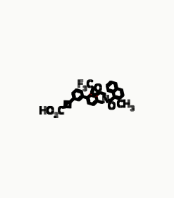 Cc1ccc2ccccc2c1C(=O)N(Cc1ccc(-c2cccc(C34CC(C(=O)O)(C3)C4)c2)cc1)Cc1ccc(C(F)(F)F)o1